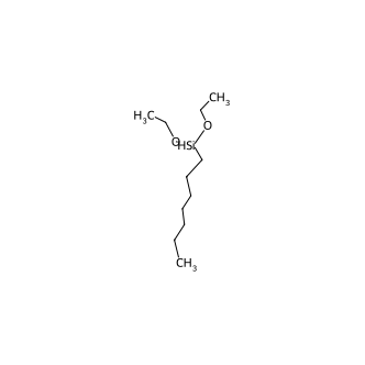 CCCCCCC[SiH](OCC)OCC